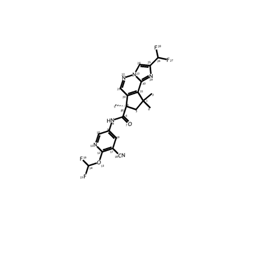 CC1(C)C[C@@](C)(C(=O)Nc2cnc(OC(F)F)c(C#N)c2)c2cnn3cc(C(F)F)nc3c21